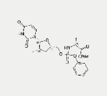 COC(=O)[C@H](C)NP(=O)(OC[C@@H]1C[C@H](C)[C@H](n2ccc(=O)[nH]c2=O)O1)Oc1ccccc1